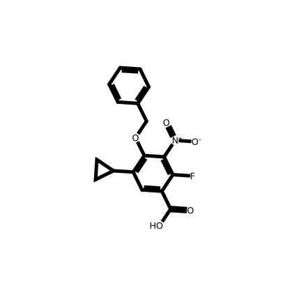 O=C(O)c1cc(C2CC2)c(OCc2ccccc2)c([N+](=O)[O-])c1F